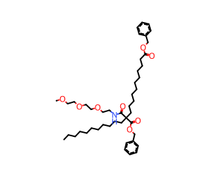 CCCCCCCCCCCC(CCCCCCCCCCC(=O)OCc1ccccc1)(C(=O)NCCOCCOCCOC)C(=O)OCc1ccccc1